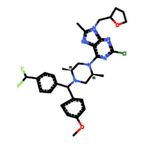 COc1ccc(C(c2ccc(C(F)F)cc2)N2C[C@H](C)N(c3nc(Cl)nc4c3nc(C)n4CC3CCCO3)C[C@H]2C)cc1